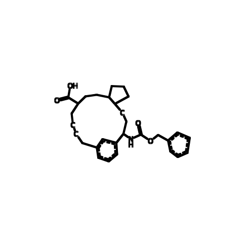 O=C(NC1CCC2CCCC2CCC(C(=O)O)CCCCc2cccc1c2)OCc1ccccc1